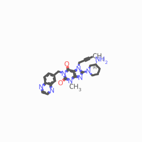 CC#CCn1c(N2CCC[C@@H](N)C2)nc2c1c(=O)n(Cc1ccc3nccnc3c1)c(=O)n2C